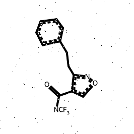 O=C(NC(F)(F)F)c1conc1CCc1ccccc1